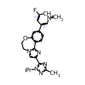 C=N/C=C(\C=C(/C)F)c1ccc2c(c1)OCCn1cc(-c3nc(C)nn3C(C)C)nc1-2